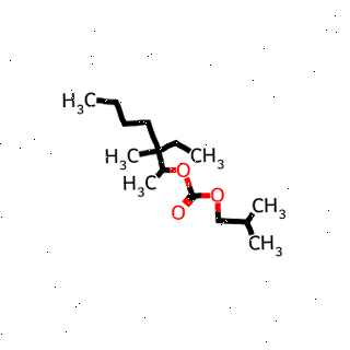 CCCCC(C)(CC)C(C)OC(=O)OCC(C)C